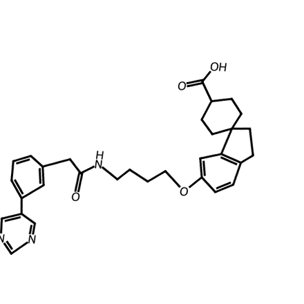 O=C(Cc1cccc(-c2cncnc2)c1)NCCCCOc1ccc2c(c1)C1(CC2)CCC(C(=O)O)CC1